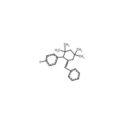 CC1(C)CC(=Cc2cc[c]cc2)C(c2ccc(F)cc2)C(C)(C)C1